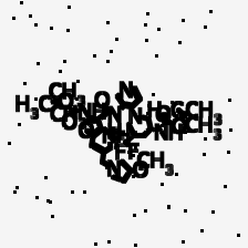 COC1CCN(CC2=Cc3oc(NC(=O)OC(C)(C)C)c(C(=O)Nc4cnccc4N4C[C@@H](NC(=O)OC(C)(C)C)C[C@@H](C(F)(F)F)C4)c3NC2)C1